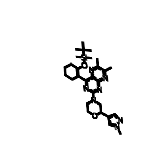 Cc1nc2nc(N3CCOC(c4cnn(C)c4)C3)nc(C3=C(O[Si](C)(C)C(C)(C)C)CCCC3)c2nc1C